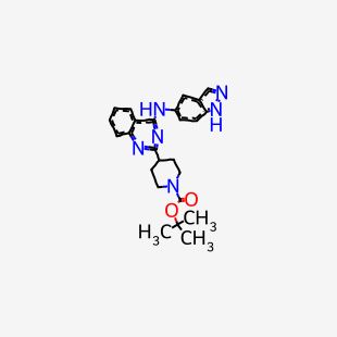 CC(C)(C)OC(=O)N1CCC(c2nc(Nc3ccc4[nH]ncc4c3)c3ccccc3n2)CC1